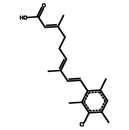 CC(C=Cc1c(C)cc(C)c(Cl)c1C)=CCCC(C)=CC(=O)O